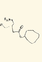 CC(C)C[C@H](CN)CC(=O)OC1CCCCCCC1